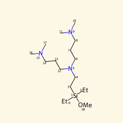 CC[Si](CC)(CCN(CCCN(C)C)CCCN(C)C)OC